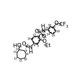 CCOc1cc(NC(=O)[C@@H]2CCCCC[C@H]2O)ccc1S(=O)(=O)Nc1cccc(OC(F)(F)F)c1